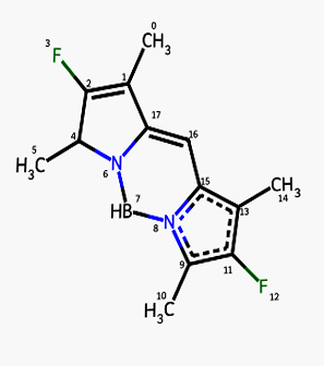 CC1=C(F)C(C)N2Bn3c(C)c(F)c(C)c3C=C12